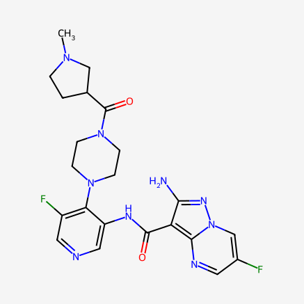 CN1CCC(C(=O)N2CCN(c3c(F)cncc3NC(=O)c3c(N)nn4cc(F)cnc34)CC2)C1